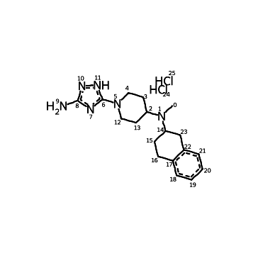 CN(C1CCN(c2nc(N)n[nH]2)CC1)C1CCc2ccccc2C1.Cl.Cl